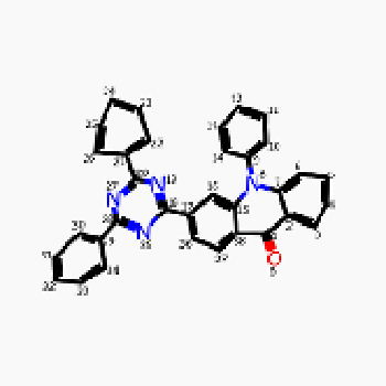 O=c1c2ccccc2n(-c2ccccc2)c2cc(-c3nc(-c4ccccc4)nc(-c4ccccc4)n3)ccc12